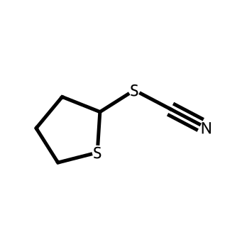 N#CSC1CCCS1